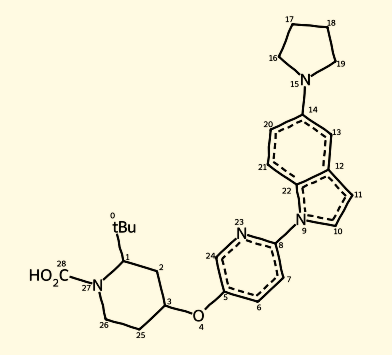 CC(C)(C)C1CC(Oc2ccc(-n3ccc4cc(N5CCCC5)ccc43)nc2)CCN1C(=O)O